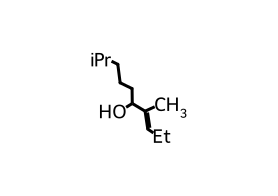 CC/C=C(\C)C(O)CCCC(C)C